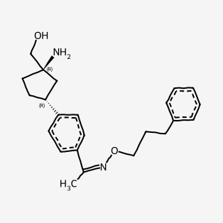 CC(=NOCCCc1ccccc1)c1ccc([C@@H]2CC[C@](N)(CO)C2)cc1